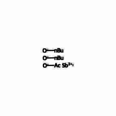 CC(=O)[O-].CCCC[O-].CCCC[O-].[Sb+3]